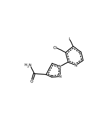 NC(=O)c1cnn(-c2nccc(I)c2Cl)c1